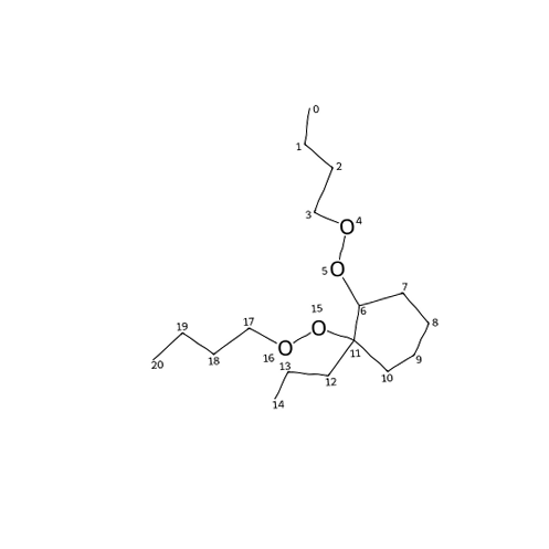 CCCCOOC1CCCCC1(CCC)OOCCCC